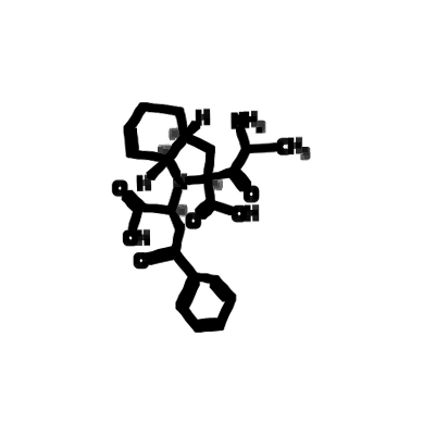 CC(N)C(=O)[C@]1(C(=O)O)C[C@H]2CCC=C[C@H]2N1[C@@H](CC(=O)c1ccccc1)C(=O)O